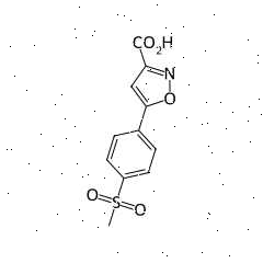 CS(=O)(=O)c1ccc(-c2cc(C(=O)O)no2)cc1